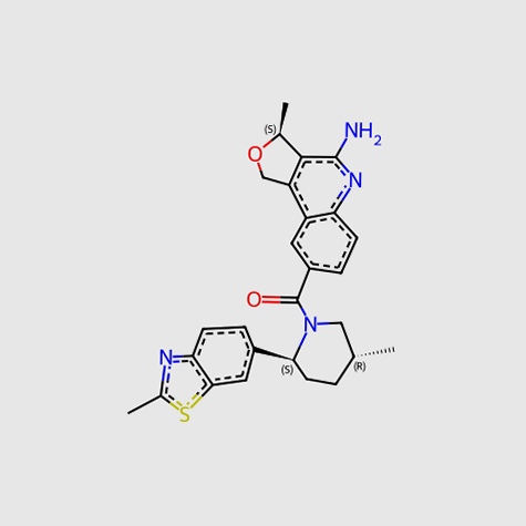 Cc1nc2ccc([C@@H]3CC[C@@H](C)CN3C(=O)c3ccc4nc(N)c5c(c4c3)CO[C@H]5C)cc2s1